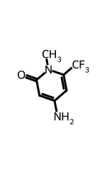 Cn1c(C(F)(F)F)cc(N)cc1=O